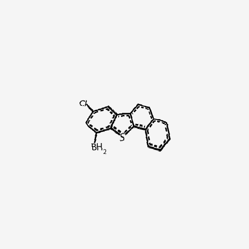 Bc1cc(Cl)cc2c1sc1c3ccccc3ccc21